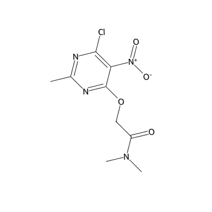 Cc1nc(Cl)c([N+](=O)[O-])c(OCC(=O)N(C)C)n1